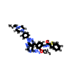 COc1cc(-c2nn(C3CCC(N4CCN(C)CC4)CC3)c3ncnc(N)c23)ccc1NC(=O)c1cc2ccccc2s1